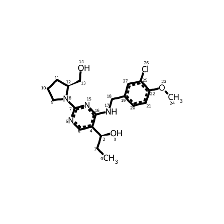 CC[C@H](O)c1cnc(N2CCC[C@H]2CO)nc1NCc1ccc(OC)c(Cl)c1